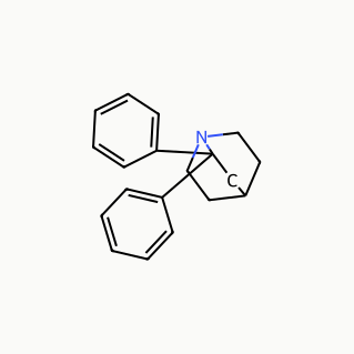 c1ccc(C2(c3ccccc3)CC3CCN2CC3)cc1